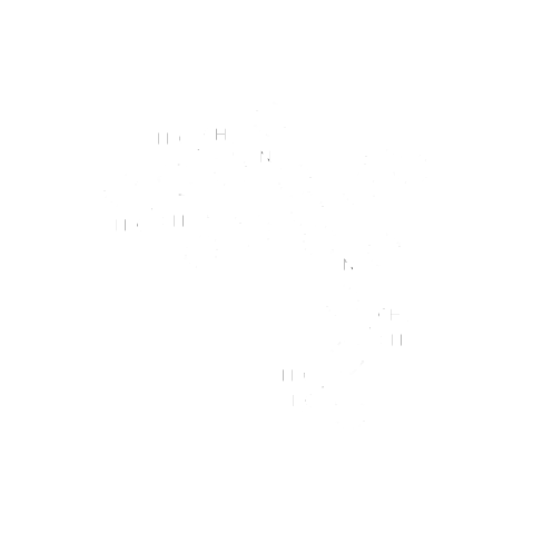 CC1(C)c2ccccc2-c2cc3c(cc21)-c1ccc(N(c2ccccc2)c2ccc4c(-c5ccc6c(ccc7ccccc76)c5)c5cc(N(c6ccccc6)c6ccc7c(c6)C(C)(C)c6cc8c(cc6-7)C(C)(C)c6ccccc6-8)ccc5c(-c5ccc6c(ccc7ccccc76)c5)c4c2)cc1C3(C)C